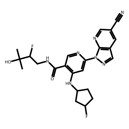 CC(C)(O)C(F)CNC(=O)c1cnc(-n2ncc3cc(C#N)cnc32)cc1NC1CCC(F)C1